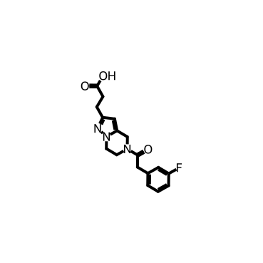 O=C(O)CCc1cc2n(n1)CCN(C(=O)Cc1cccc(F)c1)C2